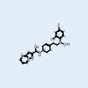 O=CN(CCC1=CC[C@H](NC(O)c2cc3ncccn3n2)CC1)c1ccc(F)cc1Cl